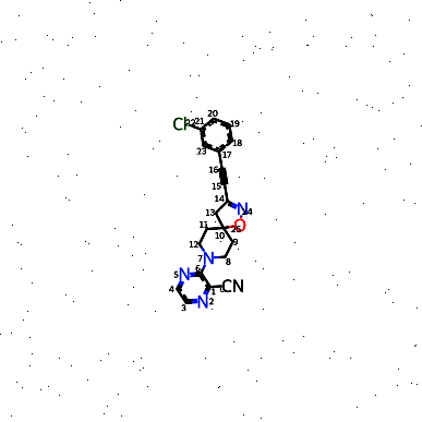 N#Cc1nccnc1N1CCC2(CC1)CC(C#Cc1cccc(Cl)c1)=NO2